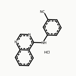 Cl.N#Cc1cccc(Nc2ncnc3ccccc23)c1